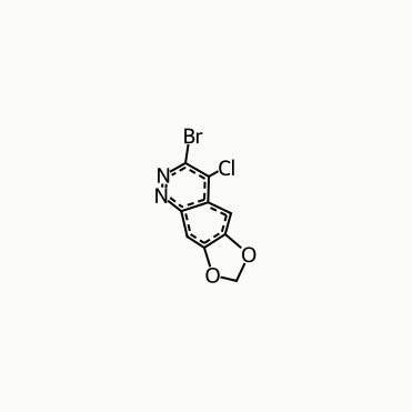 Clc1c(Br)nnc2cc3c(cc12)OCO3